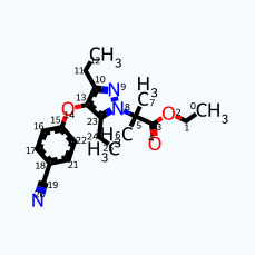 CCOC(=O)C(C)(C)n1nc(CC)c(Oc2ccc(C#N)cc2)c1CC